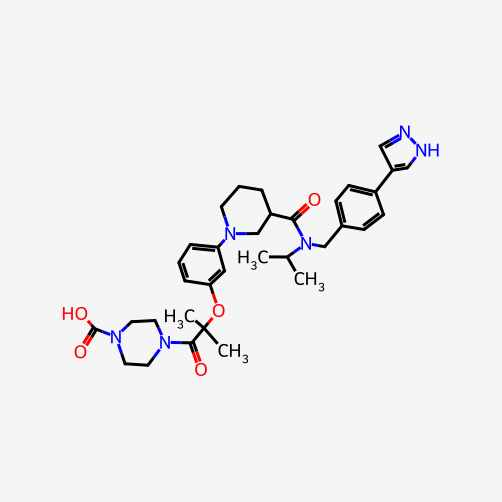 CC(C)N(Cc1ccc(-c2cn[nH]c2)cc1)C(=O)C1CCCN(c2cccc(OC(C)(C)C(=O)N3CCN(C(=O)O)CC3)c2)C1